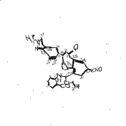 CC(Nc1ccccc1C(=O)O)c1cc(C=O)cc2c(=O)cc(-c3ccc4nn(C)cc4c3)oc12